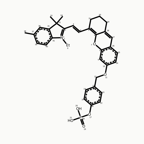 CC[N+]1=C(/C=C/C2=C3Oc4cc(OCc5ccc(OP(=O)(O)O)cc5)ccc4C=C3CCC2)C(C)(C)c2cc(C)ccc21